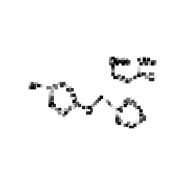 CNC(=O)C(=NOC)c1ccccc1COc1ccc(Br)cc1